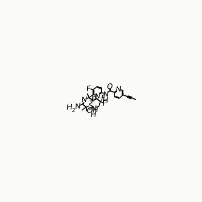 CC#Cc1ccc(C(=O)Nc2ccc(F)c(C3(C)N=C(N)C(C)(C)S4(O)NCC(F)(F)C[C@H]34)n2)nc1